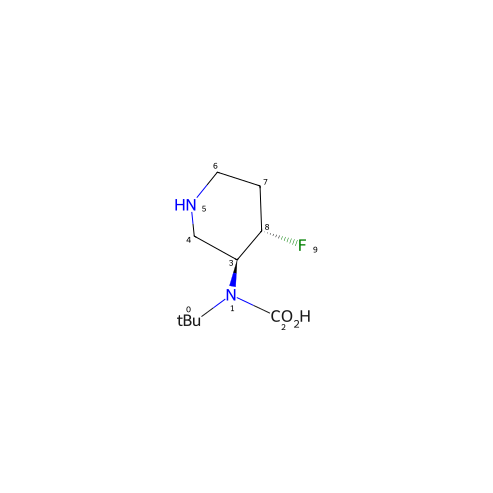 CC(C)(C)N(C(=O)O)[C@H]1CNCC[C@@H]1F